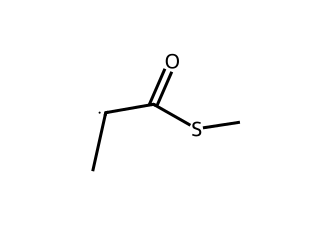 C[CH]C(=O)SC